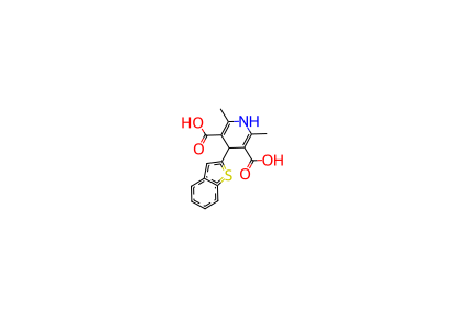 CC1=C(C(=O)O)C(c2cc3ccccc3s2)C(C(=O)O)=C(C)N1